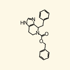 O=C(OCc1ccccc1)N1CCc2[nH]cnc2C1Cc1ccccc1